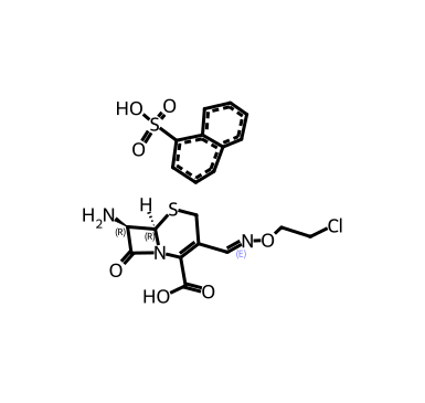 N[C@@H]1C(=O)N2C(C(=O)O)=C(/C=N/OCCCl)CS[C@H]12.O=S(=O)(O)c1cccc2ccccc12